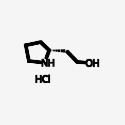 Cl.OCC[C@H]1CCCN1